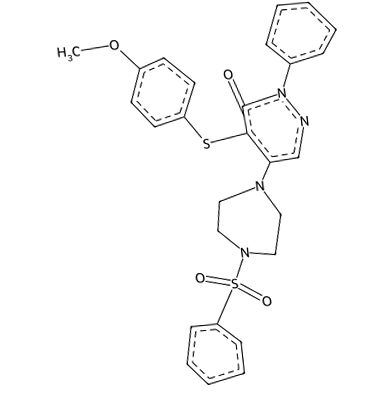 COc1ccc(Sc2c(N3CCN(S(=O)(=O)c4ccccc4)CC3)cnn(-c3ccccc3)c2=O)cc1